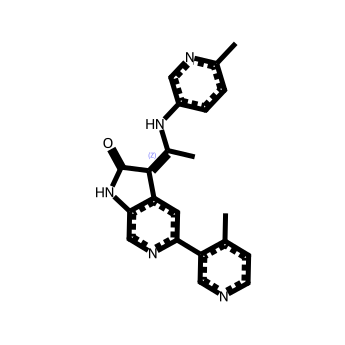 C/C(Nc1ccc(C)nc1)=C1/C(=O)Nc2cnc(-c3cnccc3C)cc21